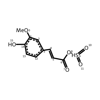 COc1cc(C=CC(=O)O[SH](=O)=O)ccc1O